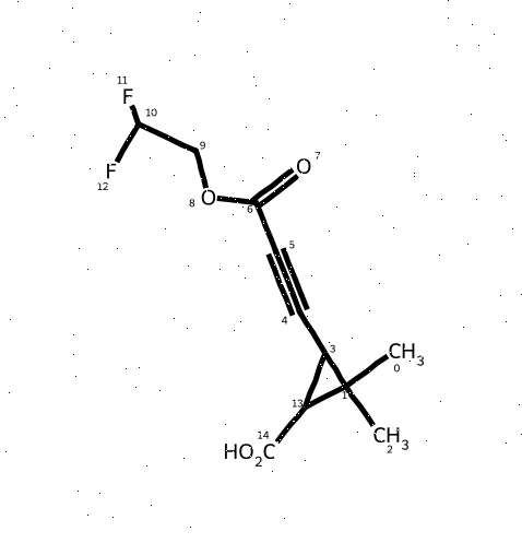 CC1(C)C(C#CC(=O)OCC(F)F)C1C(=O)O